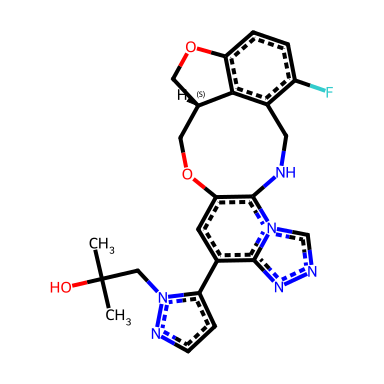 CC(C)(O)Cn1nccc1-c1cc2c(n3cnnc13)NCc1c(F)ccc3c1[C@@H](CO3)CO2